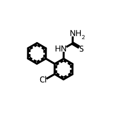 NC(=S)Nc1cccc(Cl)c1-c1ccccc1